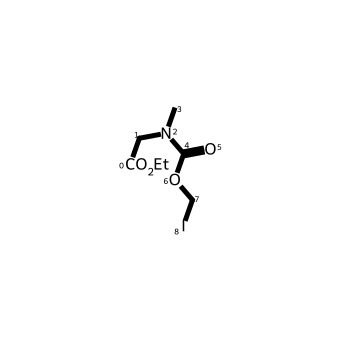 CCOC(=O)CN(C)C(=O)OCI